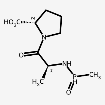 C[C@H](N[PH](C)=O)C(=O)N1CCC[C@H]1C(=O)O